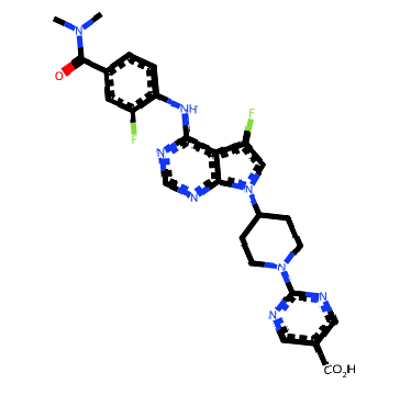 CN(C)C(=O)c1ccc(Nc2ncnc3c2c(F)cn3C2CCN(c3ncc(C(=O)O)cn3)CC2)c(F)c1